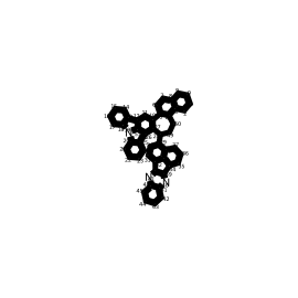 c1ccc2c3c(ccc2c1)-c1cc2c4ccccc4n4c5ccccc5c(c1C(c1ccc5c6c(cccc16)-c1nc6ccccc6nc1-5)CC3)c24